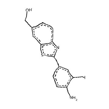 Nc1ccc(-c2nc3ccc(CO)cc3s2)cc1I